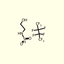 FC(F)(F)C(F)(F)C(F)(F)C(F)(F)F.O=[SH](=O)NCCO